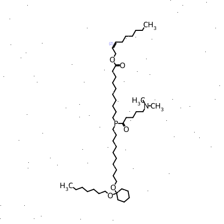 CCCCCC/C=C\COC(=O)CCCCCCCCCP(CCCCCCCCCCOC1(OCCCCCCC)CCCCC1)C(=O)CCCCN(C)C